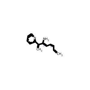 C=C/C=C\C=C(/N)C(=C)c1ccc#cn1